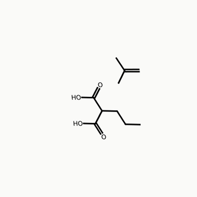 C=C(C)C.CCCC(C(=O)O)C(=O)O